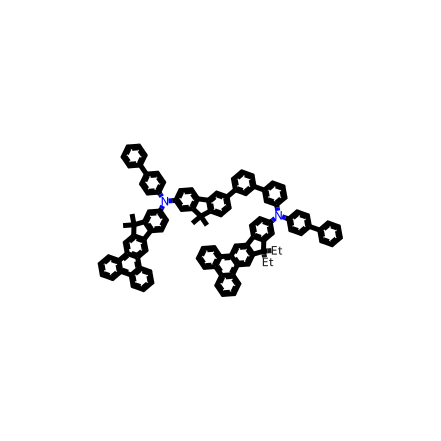 CCC1(CC)c2cc(N(c3ccc(-c4ccccc4)cc3)c3cccc(-c4cccc(-c5ccc6c(c5)-c5ccc(N(c7ccc(-c8ccccc8)cc7)c7ccc8c(c7)C(C)(C)c7cc9c%10ccccc%10c%10ccccc%10c9cc7-8)cc5C6(C)C)c4)c3)ccc2-c2cc3c4ccccc4c4ccccc4c3cc21